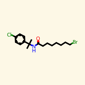 CC(C)(NC(=O)CCCCCCCBr)c1ccc(Cl)cc1